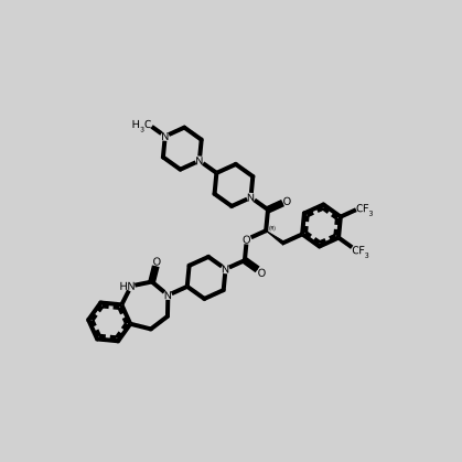 CN1CCN(C2CCN(C(=O)[C@@H](Cc3ccc(C(F)(F)F)c(C(F)(F)F)c3)OC(=O)N3CCC(N4CCc5ccccc5NC4=O)CC3)CC2)CC1